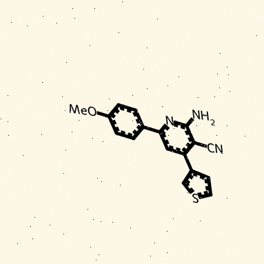 COc1ccc(-c2cc(-c3ccsc3)c(C#N)c(N)n2)cc1